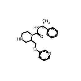 C[C@@H](NC(=O)N1CCNCC1COc1cccnc1)c1ccccc1